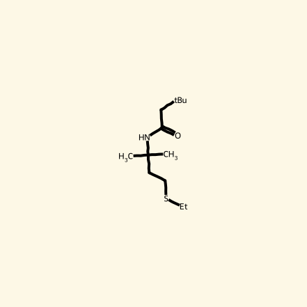 CCSCCC(C)(C)NC(=O)CC(C)(C)C